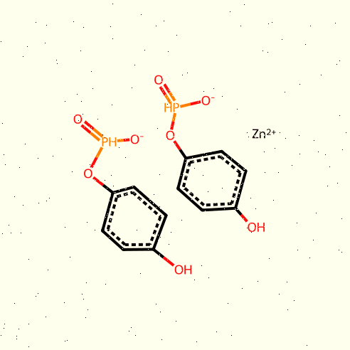 O=[PH]([O-])Oc1ccc(O)cc1.O=[PH]([O-])Oc1ccc(O)cc1.[Zn+2]